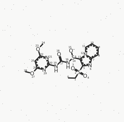 CCS(=O)(=O)c1nc2ccccn2c1[S+]([O-])NC(=O)Nc1nc(OC)cc(OC)n1